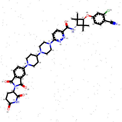 CC1(C)[C@H](NC(=O)c2ccc(N3CCN(C4CCN(c5ccc6c(c5)C(=O)N(C5CCC(=O)NC5=O)C6=O)CC4)CC3)nn2)C(C)(C)[C@H]1Oc1ccc(C#N)c(Cl)c1